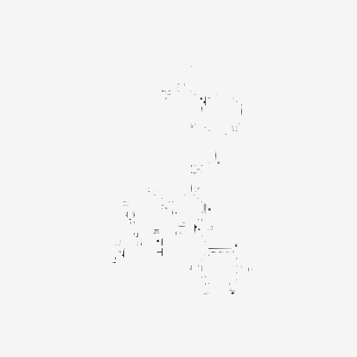 CC(=O)N1CCOC(COc2nn(-c3ccccc3)c(NC(N)=O)c2C)C1